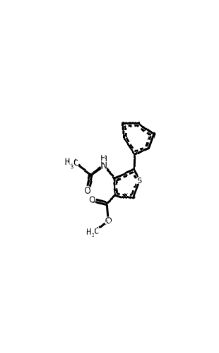 COC(=O)c1csc(-c2ccccc2)c1NC(C)=O